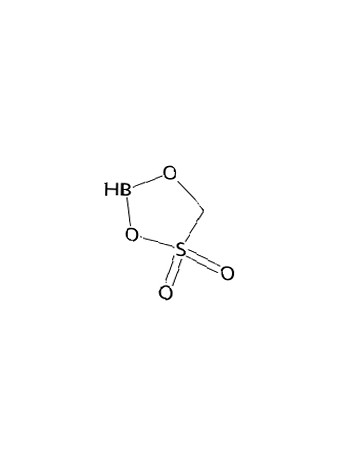 O=S1(=O)COBO1